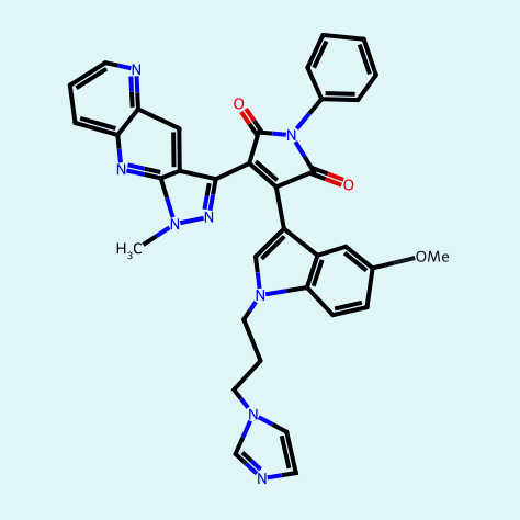 COc1ccc2c(c1)c(C1=C(c3nn(C)c4nc5cccnc5cc34)C(=O)N(c3ccccc3)C1=O)cn2CCCn1ccnc1